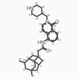 CC12CC3CC4(CC(=O)Nc5cccc6c(=O)n(CC7CCNCC7)ccc56)CC(C)(C1)CC34C2